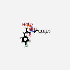 CCOC(=O)CCNC(=O)C(Cc1ccc(Cl)cc1)CP(=O)(O)O